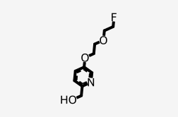 OCc1ccc(OCCOCCF)cn1